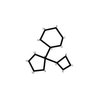 C1CC[C](C2(C3CCC3)CCCC2)CC1